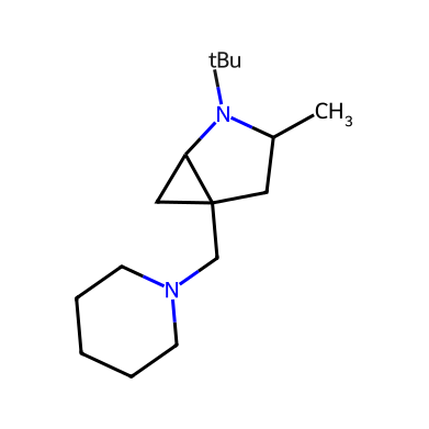 CC1CC2(CN3CCCCC3)CC2N1C(C)(C)C